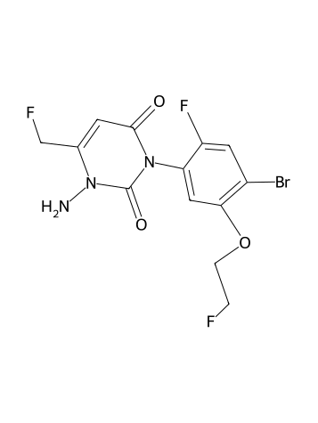 Nn1c(CF)cc(=O)n(-c2cc(OCCF)c(Br)cc2F)c1=O